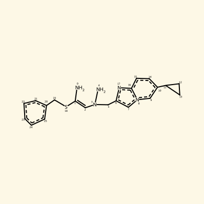 N/C(=C\N(N)Cc1cn2cc(C3CC3)ccc2n1)SCc1ccccc1